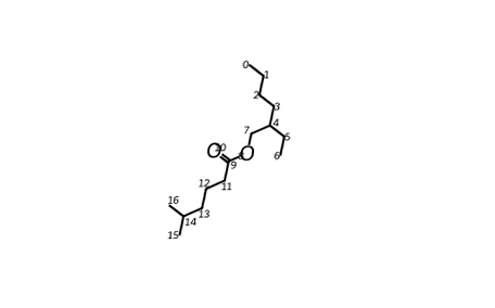 CCCCC(CC)COC(=O)CCCC(C)C